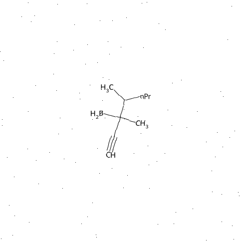 BC(C)(C#C)C(C)CCC